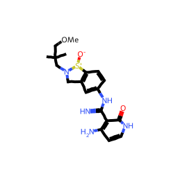 COCC(C)(C)CN1Cc2cc(NC(=N)c3c(N)cc[nH]c3=O)ccc2[S+]1[O-]